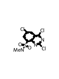 CNS(=O)(=O)c1cc(Cl)cc2c(Cl)nc(Cl)nc12